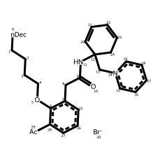 CCCCCCCCCCCCCCOc1c(CC(=O)NC2(C[n+]3ccccc3)C=CC=CC2)cccc1C(C)=O.[Br-]